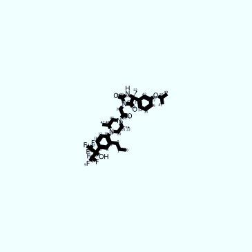 CCCc1cc(C(O)(C(F)(F)F)C(F)(F)F)ccc1N1C[C@@H](C)N(C(=O)CN2C(=O)N[C@@](C)(c3cccc(OC(C)C)c3)C2=O)CC1C